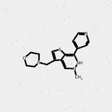 CN1C=c2c(CN3CCOCC3)csc2=C(c2ccncc2)N1